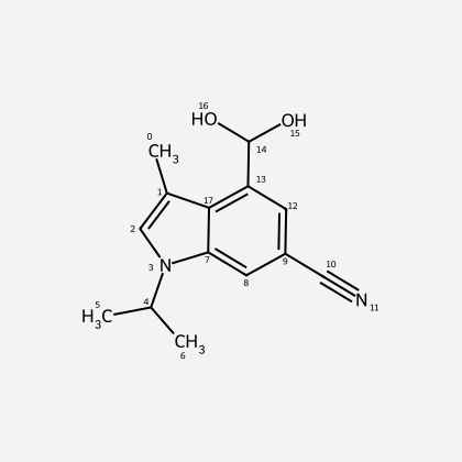 Cc1cn(C(C)C)c2cc(C#N)cc(C(O)O)c12